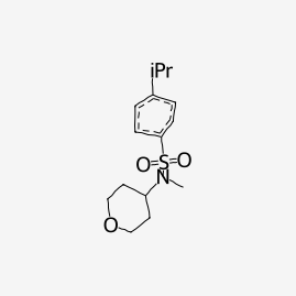 CC(C)c1ccc(S(=O)(=O)N(C)C2CCOCC2)cc1